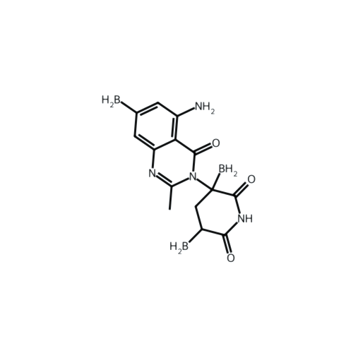 Bc1cc(N)c2c(=O)n(C3(B)CC(B)C(=O)NC3=O)c(C)nc2c1